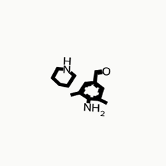 C1CCNCC1.Cc1cc(C=O)cc(C)c1N